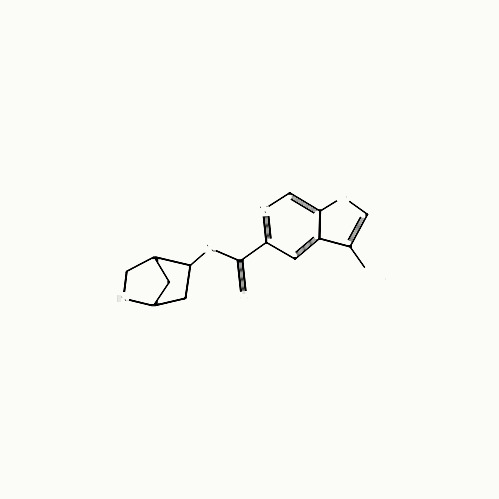 Cc1coc2cnc(C(=O)NC3CC4CC3CN4)cc12